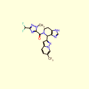 Cn1nc(C(F)F)nc1C(=O)N1CCc2[nH]cnc2C1c1cc2ccc(C(F)(F)F)cn2n1